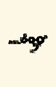 C#CCNc1ccc(=O)ccc1-c1ccc(N2C[C@H](CNC(C)=O)OC2=O)cc1F